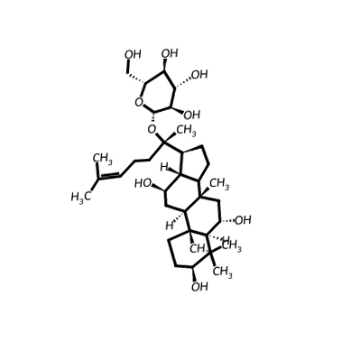 CC(C)=CCC[C@](C)(O[C@@H]1O[C@H](CO)[C@@H](O)[C@H](O)[C@H]1O)[C@H]1CCC2[C@@H]1[C@H](O)C[C@@H]1[C@@]3(C)CC[C@H](O)C(C)(C)[C@@H]3[C@@H](O)C[C@@]21C